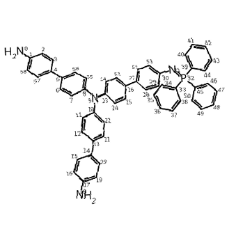 Nc1ccc(-c2ccc(N(c3ccc(-c4ccc(N)cc4)cc3)c3ccc(-c4ccc(N=P(c5ccccc5)(c5ccccc5)c5ccccc5)cc4)cc3)cc2)cc1